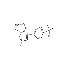 Cc1cc2c(c(-c3ccc(C(F)(F)F)cc3)c1)OSNC2